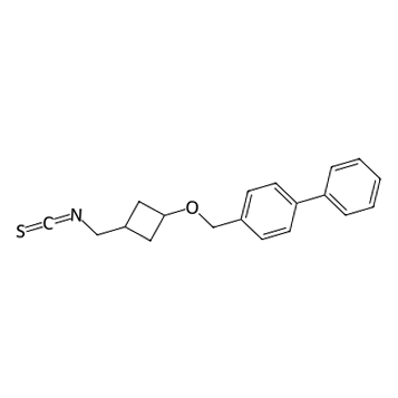 S=C=NCC1CC(OCc2ccc(-c3ccccc3)cc2)C1